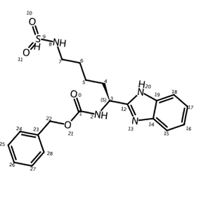 O=C(N[C@@H](CCCCN[SH](=O)=O)c1nc2ccccc2[nH]1)OCc1ccccc1